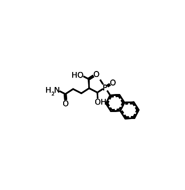 CP(=O)(c1ccc2ccccc2c1)C(O)C(CCC(N)=O)C(=O)O